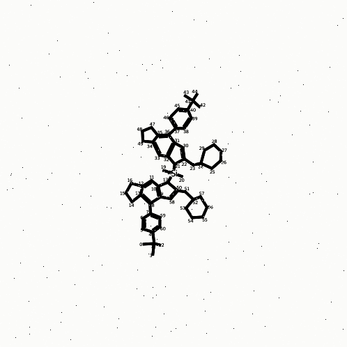 CC(C)(C)c1ccc(-c2c3c(cc4c2CCC4)C([Si](C)(C)C2C(CC4CCCCC4)=Cc4c2cc2c(c4-c4ccc(C(C)(C)C)cc4)CCC2)C(CC2CCCCC2)=C3)cc1